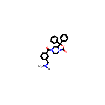 CC(C)(C)N(Cc1cccc(C(=O)N2CCN3C(=O)OC(c4ccccc4)(c4ccccc4)C3C2)c1)C(=O)O